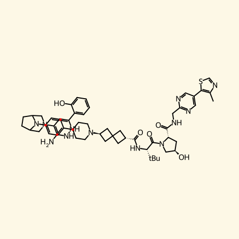 Cc1ncsc1-c1cnc(CNC(=O)[C@@H]2C[C@@H](O)CN2C(=O)[C@@H](NC(=O)[C@H]2CC3(C2)C[C@H](N2CCC(c4ccc(N5C6CCC5CN(C5=C(N)NNC(c7ccccc7O)=C5)C6)cc4)CC2)C3)C(C)(C)C)nc1